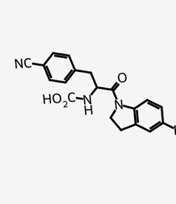 N#Cc1ccc(CC(NC(=O)O)C(=O)N2CCc3cc(F)ccc32)cc1